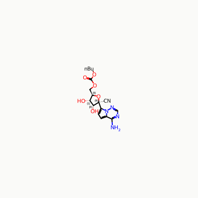 CCCCOC(=O)OC[C@H]1O[C@@](C#N)(c2ccc3c(N)ncnn23)[C@H](O)[C@@H]1O